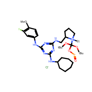 CC[N+]1(C(OP=O)(OC(C)(C)C)OC(C)(C)C)CCCC1CNc1nc(Nc2ccc(OC)c(F)c2)nc(NC2CCCCCC2)n1.[Cl-]